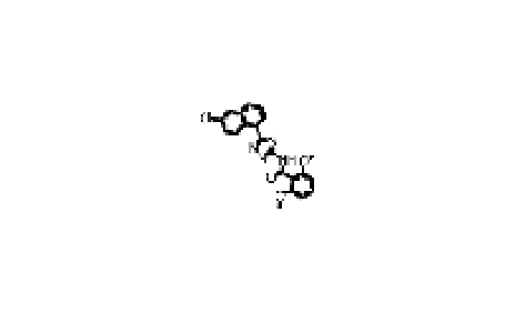 COc1cccc(OC)c1C(=O)Nc1nnc(-c2cccc3cc(Cl)ccc23)s1